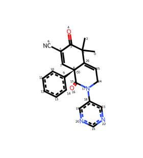 CC1(C)C(=O)C(C#N)=C[C@@]2(c3ccccc3)C(=O)N(c3cncnc3)CC=C12